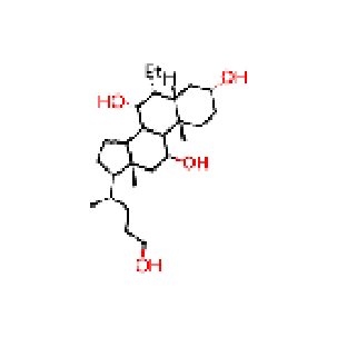 CC[C@H]1[C@@H](O)C2C3CC[C@H]([C@H](C)CCCO)[C@@]3(C)C[C@H](O)C2[C@@]2(C)CC[C@@H](O)C[C@@H]12